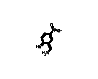 N=C1C=CC([N+](=O)[O-])=C/C1=C/N